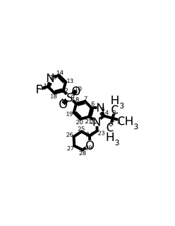 CC(C)(C)c1nc2cc(S(=O)(=O)c3ccnc(F)c3)ccc2n1CC1CCCCO1